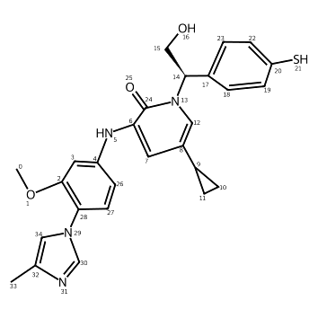 COc1cc(Nc2cc(C3CC3)cn([C@@H](CO)c3ccc(S)cc3)c2=O)ccc1-n1cnc(C)c1